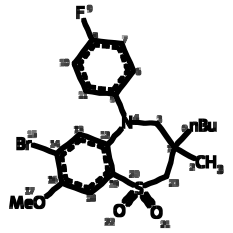 CCCCC1(C)CN(c2ccc(F)cc2)c2cc(Br)c(OC)cc2S(=O)(=O)C1